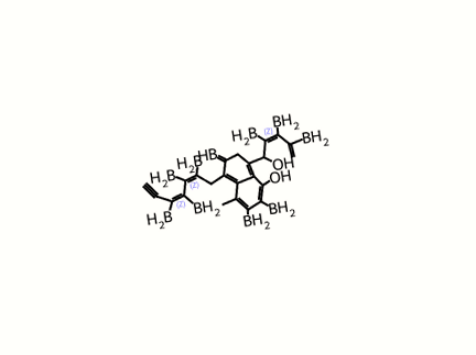 B=C1CC(C(O)/C(B)=C(/B)C(B)=C)=c2c(O)c(B)c(B)c(C)c2=C1C/C(B)=C(B)\C(B)=C(\B)C#C